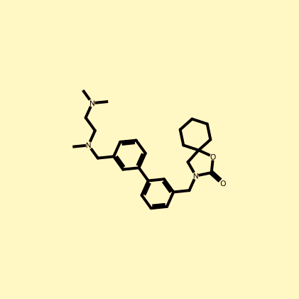 CN(C)CCN(C)Cc1cccc(-c2cccc(CN3CC4(CCCCC4)OC3=O)c2)c1